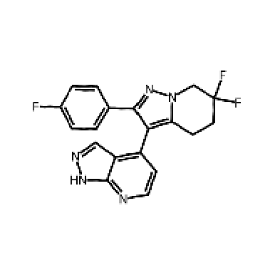 Fc1ccc(-c2nn3c(c2-c2ccnc4[nH]ncc24)CCC(F)(F)C3)cc1